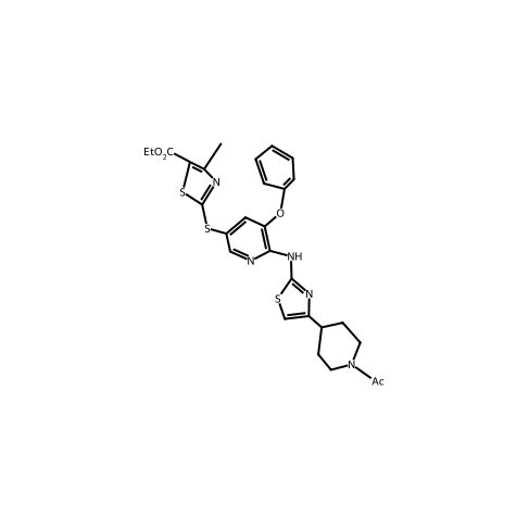 CCOC(=O)c1sc(Sc2cnc(Nc3nc(C4CCN(C(C)=O)CC4)cs3)c(Oc3ccccc3)c2)nc1C